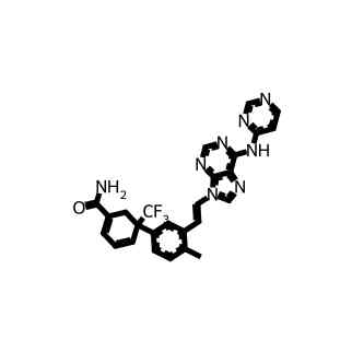 Cc1ccc(C2(C(F)(F)F)C=CC=C(C(N)=O)C2)cc1C=Cn1cnc2c(Nc3ccncn3)ncnc21